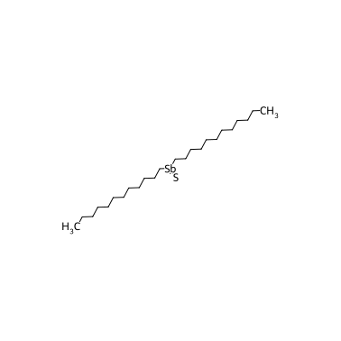 CCCCCCCCCCC[CH2][Sb](=[S])[CH2]CCCCCCCCCCC